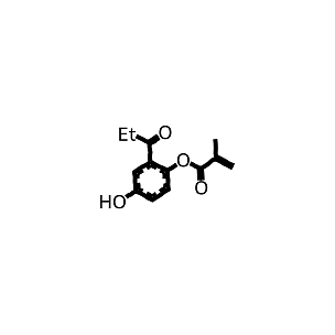 C=C(C)C(=O)Oc1ccc(O)cc1C(=O)CC